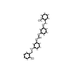 Clc1ccccc1COc1cccc(OBOc2cccc(OCc3ccccc3Cl)c2)c1